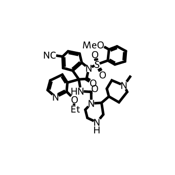 CCOc1ncccc1C1(NC(=O)N2CCNCC2C2CCN(C)CC2)C(=O)N(S(=O)(=O)c2ccccc2OC)c2ccc(C#N)cc21